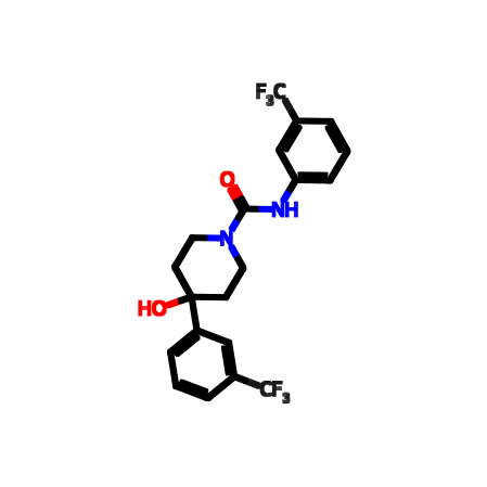 O=C(Nc1cccc(C(F)(F)F)c1)N1CCC(O)(c2cccc(C(F)(F)F)c2)CC1